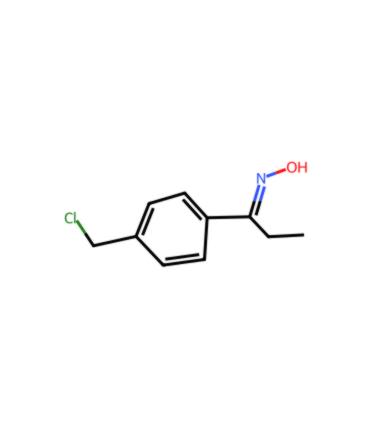 CCC(=NO)c1ccc(CCl)cc1